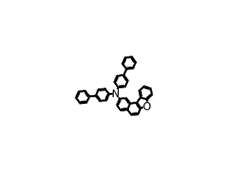 c1ccc(-c2ccc(N(c3ccc(-c4ccccc4)cc3)c3ccc4ccc5oc6ccccc6c5c4c3)cc2)cc1